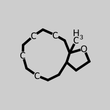 CC12CCCCCCCCCCC1CCO2